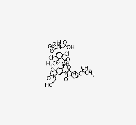 C#CCN1C(=O)COc2cc(F)c(N3C(=O)C4=C(CCCC4)C3=O)cc21.COc1c(Cl)ccc(Cl)c1C(=O)O.C[S+](C)C.O=C(O)CNCP(=O)([O-])O